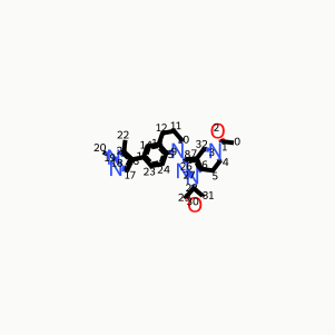 CC(=O)N1CCc2c(c(N3CCCc4cc(-c5cnn(C)c5C)ccc43)nn2C2COC2)C1